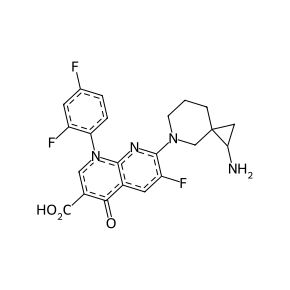 NC1CC12CCCN(c1nc3c(cc1F)c(=O)c(C(=O)O)cn3-c1ccc(F)cc1F)C2